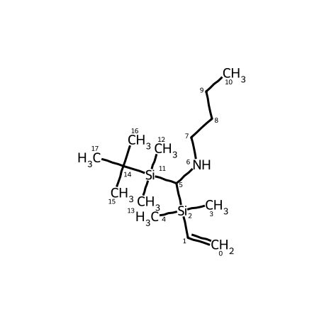 C=C[Si](C)(C)C(NCCCC)[Si](C)(C)C(C)(C)C